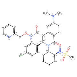 CN(C)c1ccc2c(c1)[C@@H](C(=O)NOCc1ccccn1)[C@H](c1ccc(Cl)cc1)N(C1CCCC[C@@H]1NS(C)(=O)=O)C2=O